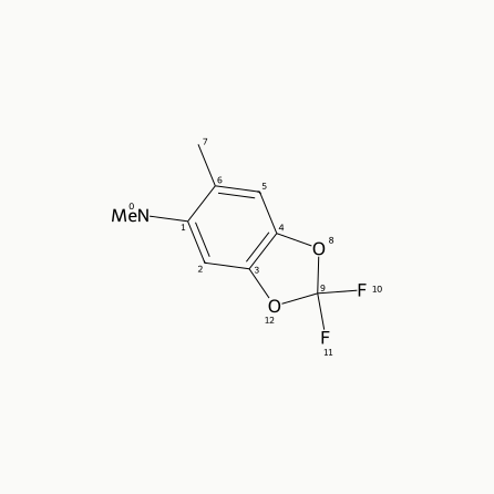 CNc1cc2c(cc1C)OC(F)(F)O2